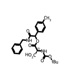 Cc1ccc(C(OC(=O)[C@@H](NC(=O)OC(C)(C)C)C(=O)O)C(=O)NCc2ccccc2)cc1